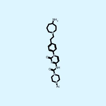 CC(=O)N1CCN(C(=O)Nc2ccn(-c3ccc(CCN4CCCC(N)CC4)cc3)c(=O)n2)CC1